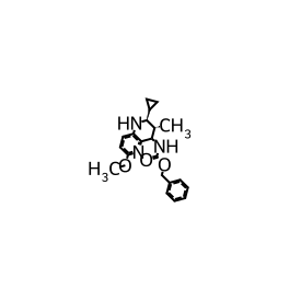 COc1ccc2c(n1)C(NC(=O)OCc1ccccc1)[C@@H](C)[C@H](C1CC1)N2